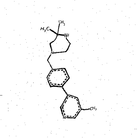 Cc1cncc(-c2ccc(CN3CCNC(C)(C)C3)cc2)c1